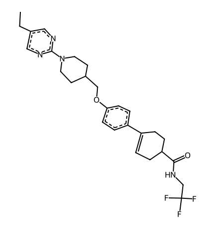 CCc1cnc(N2CCC(COc3ccc(C4=CCC(C(=O)NCC(F)(F)F)CC4)cc3)CC2)nc1